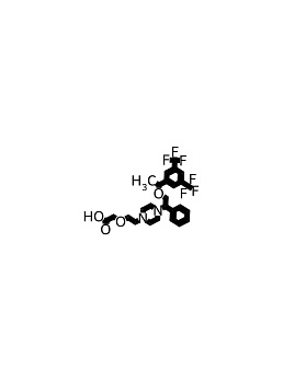 CC(OCC(c1ccccc1)N1CCN(CCOCC(=O)O)CC1)c1cc(C(F)(F)F)cc(C(F)(F)F)c1